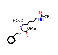 COC(=O)[C@H](CCc1ccccc1)N[C@@H](CCCCNC(=O)C(F)(F)F)C(=O)O